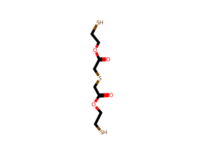 O=C(CSCC(=O)OCCS)OCCS